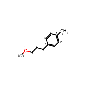 CCOCCCc1ccc(C)cc1